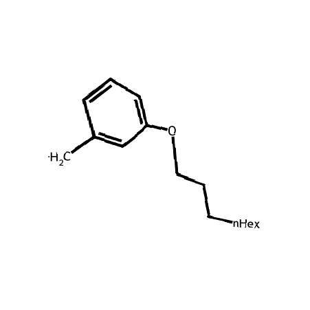 [CH2]c1cccc(OCCCCCCCCC)c1